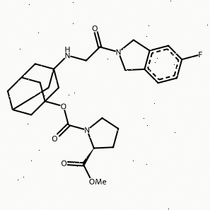 COC(=O)[C@@H]1CCCN1C(=O)OC12CC3CC(CC(NCC(=O)N4Cc5ccc(F)cc5C4)(C3)C1)C2